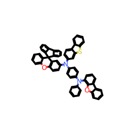 c1ccc(N(c2ccc(N(c3ccc4c(c3)C3(c5ccccc5O4)c4ccccc4-c4ccccc43)c3ccc4c(c3)sc3ccccc34)cc2)c2cccc3c2oc2ccccc23)cc1